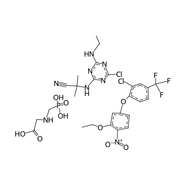 CCNc1nc(Cl)nc(NC(C)(C)C#N)n1.CCOc1cc(Oc2ccc(C(F)(F)F)cc2Cl)ccc1[N+](=O)[O-].O=C(O)CNCP(=O)(O)O